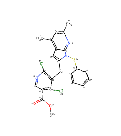 Cc1cc(C(F)(F)F)nc2c1cc(Cc1c(Cl)ncc(C(=O)OC(C)(C)C)c1Cl)n2SC1C=CC=CC1